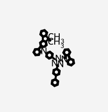 CC1(C)c2ccccc2-c2cc3c4ccccc4n(-c4ccc(-c5nc(-c6ccc(-c7ccccc7)cc6)nc(-n6c7ccccc7c7ccccc76)n5)cc4)c3cc21